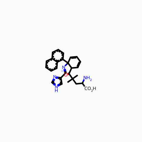 CC(C)(CC(N)C(=O)O)C(=O)C1C=CC=CC1(/N=C/c1c[nH]cn1)c1cccc2ccccc12